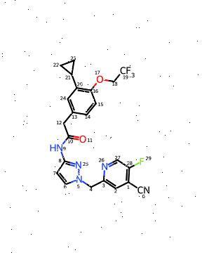 N#Cc1cc(Cn2ccc(NC(=O)Cc3ccc(OCC(F)(F)F)c(C4CC4)c3)n2)ncc1F